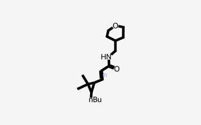 CCCCC1C(/C=C/C(=O)NCC2CCOCC2)C1(C)C